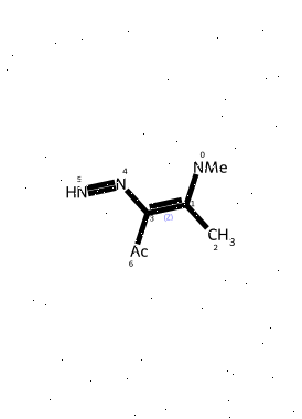 CN/C(C)=C(\N=N)C(C)=O